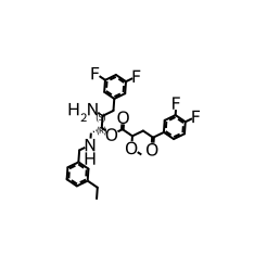 CCc1cccc(CNC[C@@H](OC(=O)C(CC(=O)c2ccc(F)c(F)c2)OC)[C@@H](N)Cc2cc(F)cc(F)c2)c1